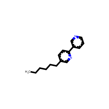 CCCCCCc1ccc(-c2cccnc2)nc1